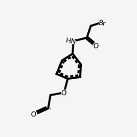 O=[C]COc1ccc(NC(=O)CBr)cc1